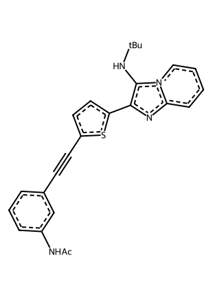 CC(=O)Nc1cccc(C#Cc2ccc(-c3nc4ccccn4c3NC(C)(C)C)s2)c1